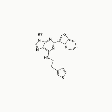 CC(C)n1cnc2c(NCCc3ccsc3)nc(-c3csc4ccccc34)nc21